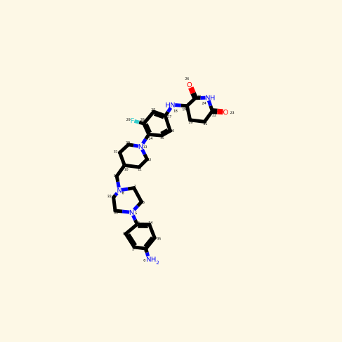 Nc1ccc(N2CCN(CC3CCN(c4ccc(NC5CCC(=O)NC5=O)cc4F)CC3)CC2)cc1